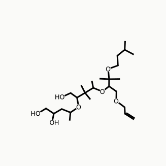 C=CCOCC(OC(C)C(C)(C)C(CO)OC(C)CC(O)CO)C(C)(C)OCCC(C)C